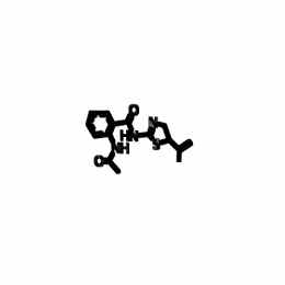 C=C(C)C1CN=C(NC(=O)c2ccccc2NC(C)=O)S1